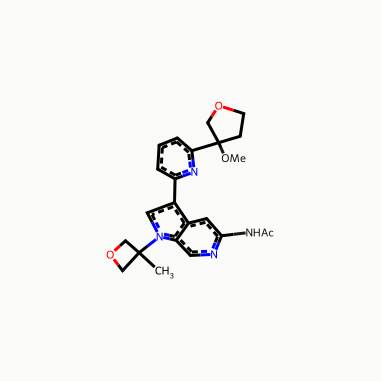 COC1(c2cccc(-c3cn(C4(C)COC4)c4cnc(NC(C)=O)cc34)n2)CCOC1